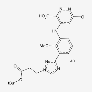 COc1c(Nc2cc(Cl)nnc2C(=O)O)cccc1-c1ncn(CCC(=O)OC(C)(C)C)n1.[Zn]